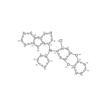 Clc1cc2c(cc1N(c1ccccc1)c1cccc3c1sc1ccccc13)Oc1ccccc1O2